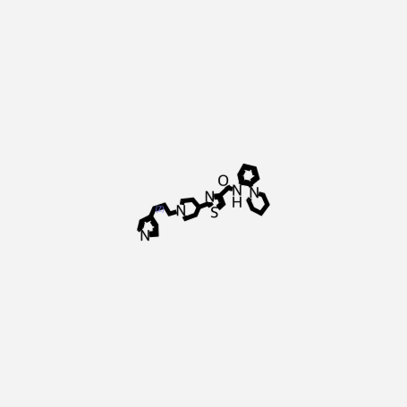 O=C(Nc1ccccc1N1CCCCC1)c1csc(C2CCN(C/C=C\c3ccncc3)CC2)n1